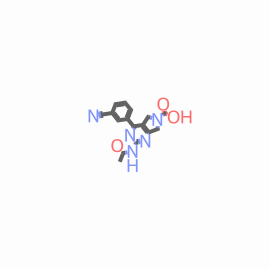 CC(=O)Nc1nc2c(c(-c3cccc(C#N)c3)n1)CN(C(=O)O)C2